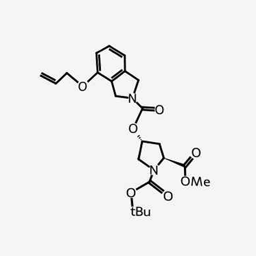 C=CCOc1cccc2c1CN(C(=O)O[C@@H]1C[C@@H](C(=O)OC)N(C(=O)OC(C)(C)C)C1)C2